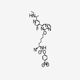 CCNC(C)c1cc(-c2cn3ccnc3c(OCCCCCC(C#N)NC(=O)Oc3ccc([N+](=O)[O-])cc3)n2)c(F)cn1